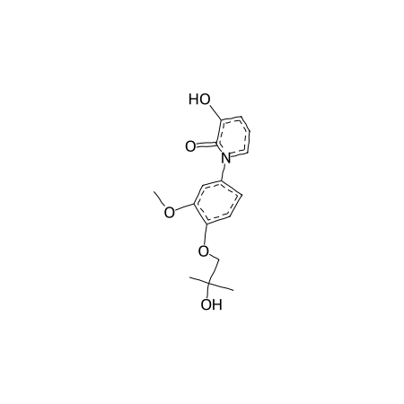 COc1cc(-n2cccc(O)c2=O)ccc1OCC(C)(C)O